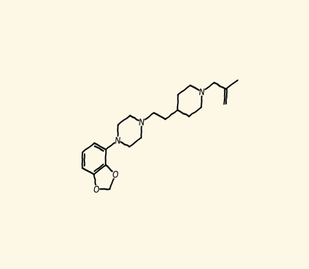 C=C(C)CN1CCC(CCN2CCN(c3cccc4c3OCO4)CC2)CC1